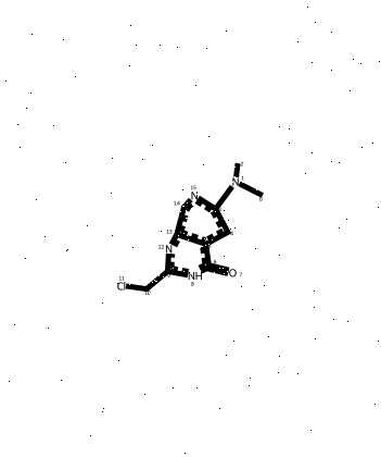 CN(C)c1cc2c(=O)[nH]c(CCl)nc2cn1